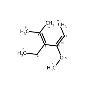 C/C=C(/OC)C(CC)=C(C)C